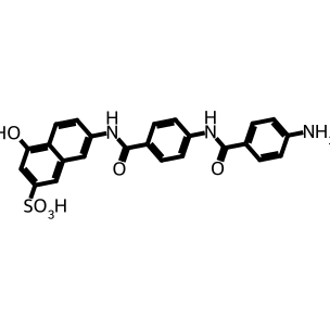 Nc1ccc(C(=O)Nc2ccc(C(=O)Nc3ccc4c(O)cc(S(=O)(=O)O)cc4c3)cc2)cc1